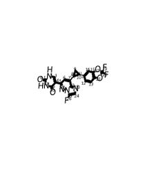 O=c1[nH]cc(-c2cc([C@H]3C[C@@H]3c3ccc4c(c3)OC(F)(F)O4)c3ncc(F)n3n2)c(=O)[nH]1